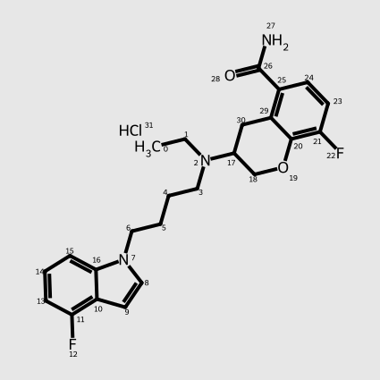 CCN(CCCCn1ccc2c(F)cccc21)C1COc2c(F)ccc(C(N)=O)c2C1.Cl